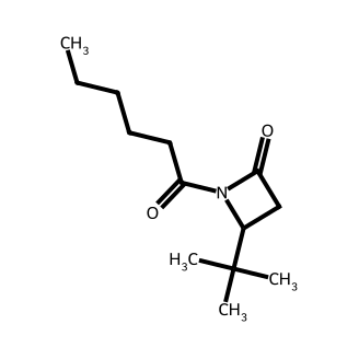 CCCCCC(=O)N1C(=O)CC1C(C)(C)C